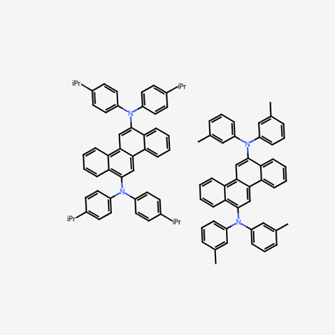 CC(C)c1ccc(N(c2ccc(C(C)C)cc2)c2cc3c4ccccc4c(N(c4ccc(C(C)C)cc4)c4ccc(C(C)C)cc4)cc3c3ccccc23)cc1.Cc1cccc(N(c2cccc(C)c2)c2cc3c4ccccc4c(N(c4cccc(C)c4)c4cccc(C)c4)cc3c3ccccc23)c1